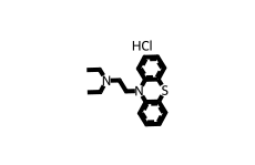 CCN(CC)CCN1c2ccccc2Sc2ccccc21.Cl